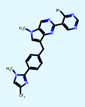 CC(C)c1ncncc1-c1ncc2c(n1)c(Cc1ccc(-c3nc(C(F)(F)F)cn3C)cc1)cn2C